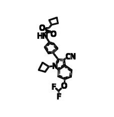 N#Cc1c(-c2ccc(NS(=O)(=O)C3CCC3)cc2)n(C2CCC2)c2cc(OC(F)F)ccc12